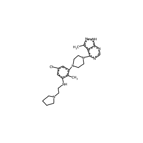 Cc1c(NCCN2CCCC2)cc(Cl)cc1N1CCN(c2ncnc3[nH]nc(C)c23)CC1